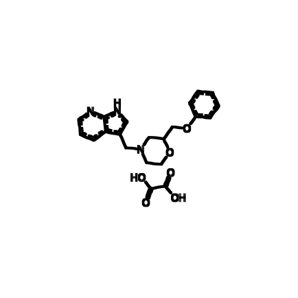 O=C(O)C(=O)O.c1ccc(OCC2CN(Cc3c[nH]c4ncccc34)CCO2)cc1